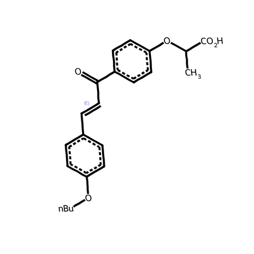 CCCCOc1ccc(/C=C/C(=O)c2ccc(OC(C)C(=O)O)cc2)cc1